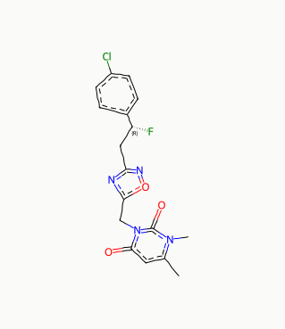 Cc1cc(=O)n(Cc2nc(C[C@@H](F)c3ccc(Cl)cc3)no2)c(=O)n1C